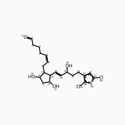 O=CCCC/C=C\CC1C(O)CC(O)C1/C=C/C(O)CCc1cc(Cl)sc1Cl